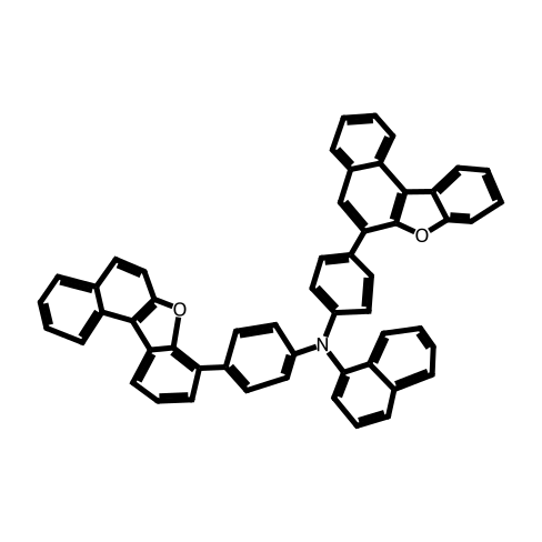 c1ccc2c(N(c3ccc(-c4cccc5c4oc4ccc6ccccc6c45)cc3)c3ccc(-c4cc5ccccc5c5c4oc4ccccc45)cc3)cccc2c1